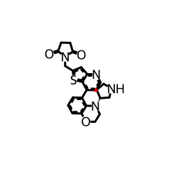 O=C1CCC(=O)N1Cc1cc2nccc(-c3cccc4c3N([C@@H]3CCNC3)CCO4)c2s1